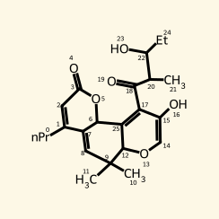 CCCC1=CC(=O)OC2C1=CC(C)(C)C1OC=C(O)C(C(=O)C(C)C(O)CC)=C21